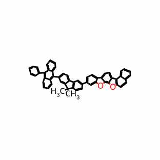 CC1(C)c2ccc(-c3ccc4c(c3)oc3c4ccc4c3oc3ccc5ccccc5c34)cc2-c2ccc(-c3c4ccccc4c(-c4ccccc4)c4ccccc34)cc21